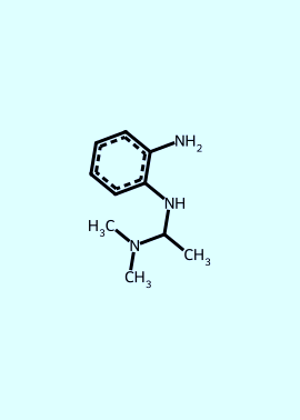 CC(Nc1ccccc1N)N(C)C